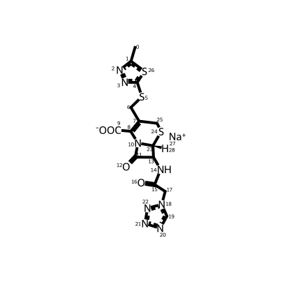 Cc1nnc(SCC2=C(C(=O)[O-])N3C(=O)C(NC(=O)Cn4cnnn4)[C@H]3SC2)s1.[Na+]